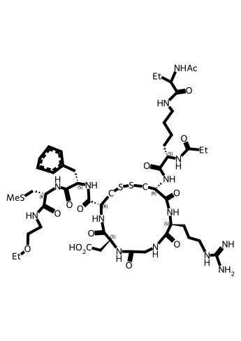 CCOCCNC(=O)[C@H](CSC)NC(=O)[C@H](Cc1ccccc1)NC(=O)[C@@H]1CSSC[C@H](NC(=O)[C@H](CCCCNC(=O)C(CC)NC(C)=O)NC(=O)CC)C(=O)N[C@@H](CCCNC(=N)N)C(=O)NCC(=O)N[C@@H](CC(=O)O)C(=O)N1